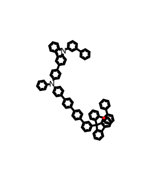 c1ccc(-c2cccc(-n3c4ccccc4c4cc(-c5ccc(N(c6ccccc6)c6ccc(-c7ccc(-c8ccc(-c9cccc(C%10(c%11ccccc%11-c%11ccccc%11-c%11ccccc%11)c%11ccccc%11-c%11ccccc%11%10)c9)cc8)cc7)cc6)cc5)ccc43)c2)cc1